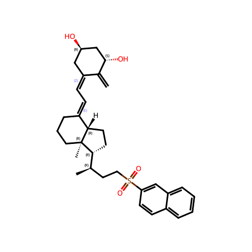 C=C1/C(=C\C=C2/CCC[C@]3(C)[C@@H]([C@H](C)CCS(=O)(=O)c4ccc5ccccc5c4)CC[C@@H]23)C[C@@H](O)C[C@@H]1O